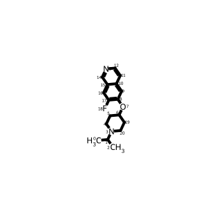 CC(C)N1CCC(Oc2cc3ccncc3cc2F)CC1